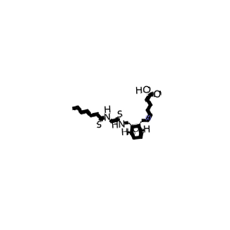 CCCCCCC(=S)NCC(=S)NC[C@@H]1[C@H](C/C=C\CCCC(=O)O)[C@@H]2CC[C@H]1O2